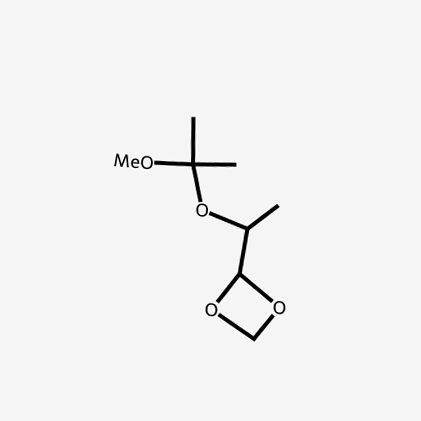 COC(C)(C)OC(C)C1OCO1